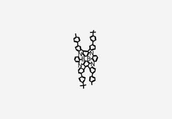 Cc1ccc(-c2ccc3c(c2)c2c4c5cc(-c6ccc(C(C)(C)C)cc6)ccc5n5c4c4c6c2n3-c2cccc3c2B6c2c6c7c(c8cc(-c9ccc(C)cc9)ccc8n7-c7cccc-5c7B64)c4c5cc(-c6ccc(C(C)(C)C)cc6)ccc5n-3c24)cc1